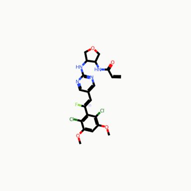 C=CC(=O)NC1COCC1Nc1ncc(/C=C(\F)c2c(Cl)c(OC)cc(OC)c2Cl)cn1